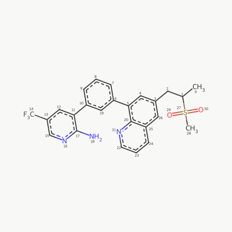 CC(Cc1cc(-c2cccc(-c3cc(C(F)(F)F)cnc3N)c2)c2ncccc2c1)S(C)(=O)=O